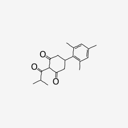 Cc1cc(C)c(C2CC(=O)C(C(=O)C(C)C)C(=O)C2)c(C)c1